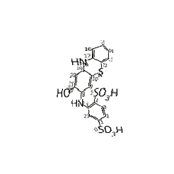 O=S(=O)(O)c1ccc(S(=O)(=O)O)c(NC2C=C3Sc4ccccc4NC3C=C2O)c1